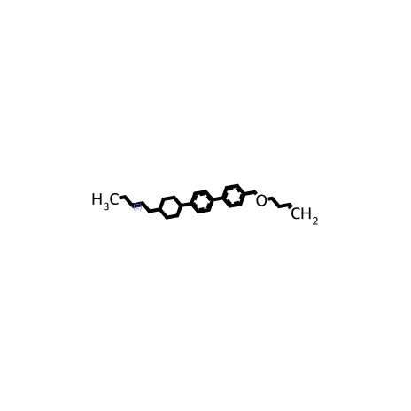 C=CCCOCc1ccc(-c2ccc(C3CCC(C/C=C/CC)CC3)cc2)cc1